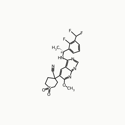 COc1nc2ncnc(N[C@H](C)c3cccc(C(F)F)c3F)c2cc1C1(C#N)CCS(=O)(=O)CC1